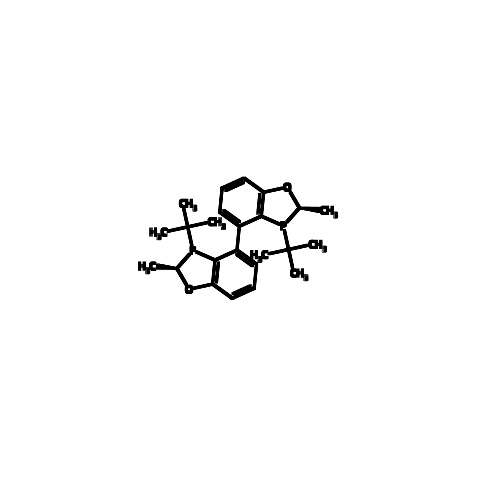 C[C@@H]1Oc2cccc(-c3cccc4c3P(C(C)(C)C)[C@H](C)O4)c2P1C(C)(C)C